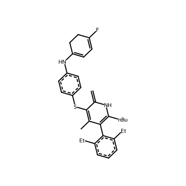 C=C1NC(CCCC)=C(c2c(CC)cccc2CC)C(C)=C1Sc1ccc(NC2=CC=C(F)CC2)cc1